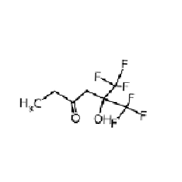 CCC(=O)CC(O)(C(F)(F)F)C(F)(F)F